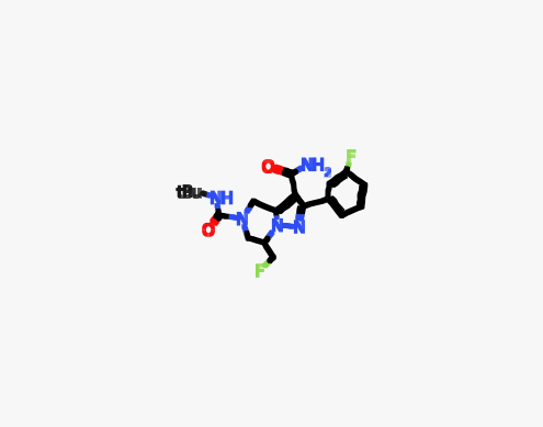 CC(C)(C)NC(=O)N1Cc2c(C(N)=O)c(-c3cccc(F)c3)nn2C(CF)C1